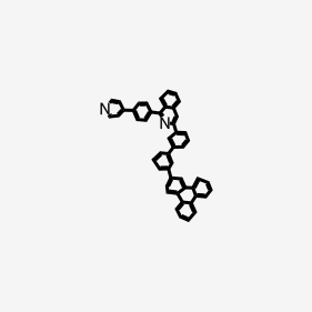 c1cc(-c2cccc(-c3cc4ccccc4c(-c4ccc(-c5ccncc5)cc4)n3)c2)cc(-c2ccc3c4ccccc4c4ccccc4c3c2)c1